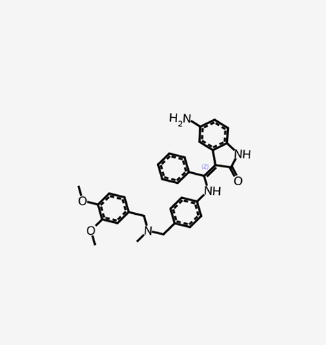 COc1ccc(CN(C)Cc2ccc(N/C(=C3\C(=O)Nc4ccc(N)cc43)c3ccccc3)cc2)cc1OC